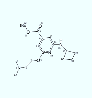 CN(C)CCOc1cc(C(=O)OC(C)(C)C)cc(NC2CCC2)n1